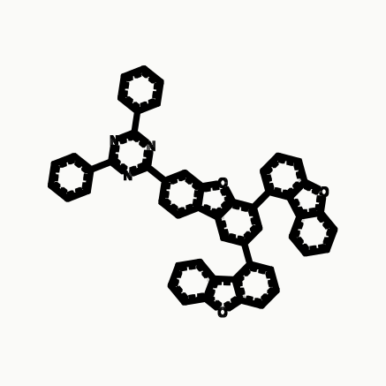 c1ccc(-c2nc(-c3ccccc3)nc(-c3ccc4c(c3)oc3c(-c5cccc6oc7ccccc7c56)cc(-c5cccc6oc7ccccc7c56)cc34)n2)cc1